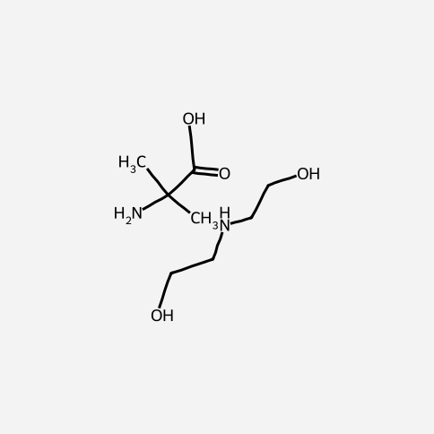 CC(C)(N)C(=O)O.OCCNCCO